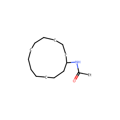 CCC(=O)NC1CCCCCCCCCCCC1